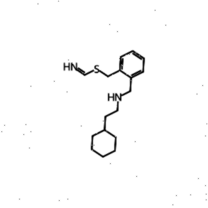 N=CSCc1ccccc1CNCCC1CCCCC1